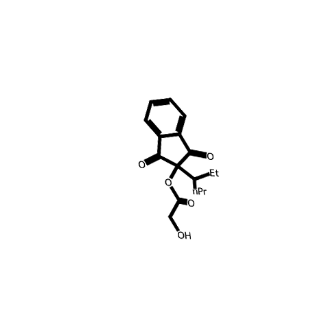 CCCC(CC)C1(OC(=O)CO)C(=O)c2ccccc2C1=O